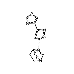 c1nc(-c2nnc(N3CCN4CCC3CC4)s2)cs1